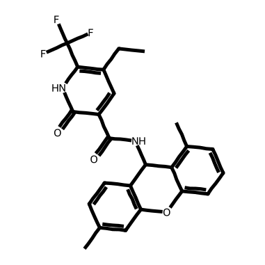 CCc1cc(C(=O)NC2c3ccc(C)cc3Oc3cccc(C)c32)c(=O)[nH]c1C(F)(F)F